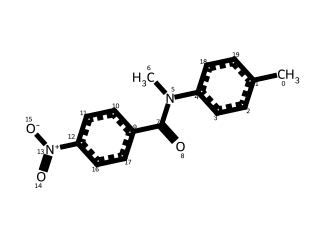 Cc1ccc(N(C)C(=O)c2ccc([N+](=O)[O-])cc2)cc1